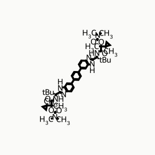 CN(C)C(=O)OC(C)(C(=O)N[C@H](c1nc2ccc(-c3ccc(-c4ccc5nc([C@@H](NC(=O)C(C)(OC(=O)N(C)C)C6(C)CC6)C(C)(C)C)[nH]c5c4)cc3)cc2[nH]1)C(C)(C)C)C1(C)CC1